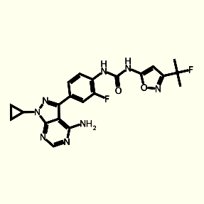 CC(C)(F)c1cc(NC(=O)Nc2ccc(-c3nn(C4CC4)c4ncnc(N)c34)cc2F)on1